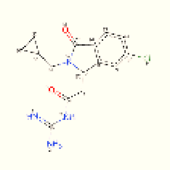 N=C(N)NC(=O)C[C@H]1c2cc(Cl)ccc2C(=O)N1CC1CC1